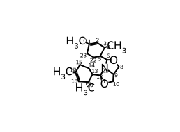 CC1=CC(C)C(C2OCC3COC(C4CCC(C)=CC4C)N32)CC1